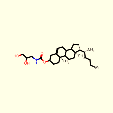 CC(C)CCC[C@@H](C)[C@H]1CCC2C3CC=C4CC(OC(=O)NCC(O)CO)CC[C@]4(C)C3CC[C@@]21C